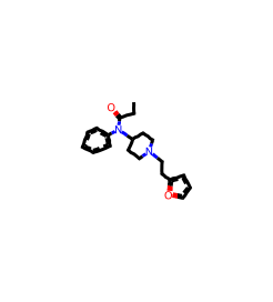 CCC(=O)N(c1ccccc1)C1CCN(CCc2ccco2)CC1